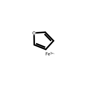 [Fe+3].c1ccoc1